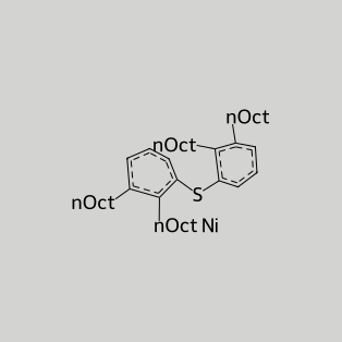 CCCCCCCCc1cccc(Sc2cccc(CCCCCCCC)c2CCCCCCCC)c1CCCCCCCC.[Ni]